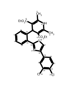 CCOC(=O)C1=C(C)NC(C)=C(C(=O)OCC)C1c1ccccc1-c1nc(-c2ccc(Cl)c(Cl)c2)cs1